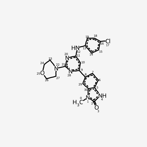 Cn1c(=O)[nH]c2ccc(-c3cc(Nc4ccc(Cl)cc4)nc(N4CCOCC4)n3)cc21